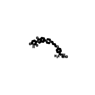 CC(NC=O)c1ccc(OCCCCN2CCN(c3ccc4c(c3)CN(C3CCC(=O)NC3=O)C4=O)CC2)cc1